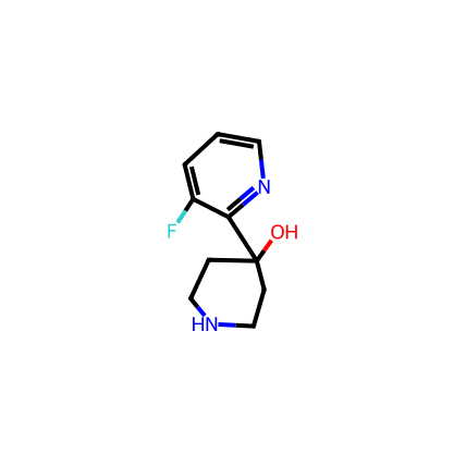 OC1(c2ncccc2F)CCNCC1